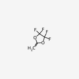 C=C1OC(F)(F)C(F)(F)O1